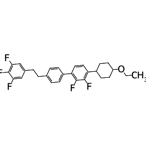 CCOC1CCC(c2ccc(-c3ccc(CCc4cc(F)c(F)c(F)c4)cc3)c(F)c2F)CC1